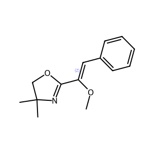 CO/C(=C\c1ccccc1)C1=NC(C)(C)CO1